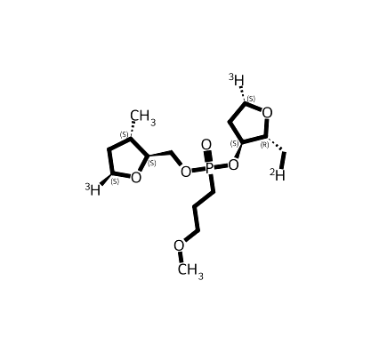 [2H]C[C@H]1O[C@@H]([3H])C[C@@H]1OP(=O)(CCCOC)OC[C@H]1O[C@@H]([3H])C[C@@H]1C